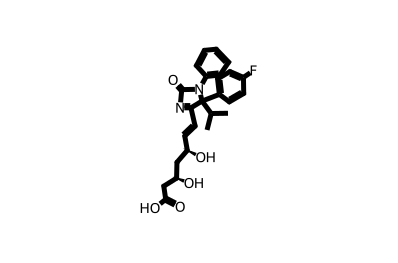 CC(C)C1(c2ccc(F)cc2)C(C=C[C@@H](O)C[C@@H](O)CC(=O)O)=NC(=O)N1c1ccccc1